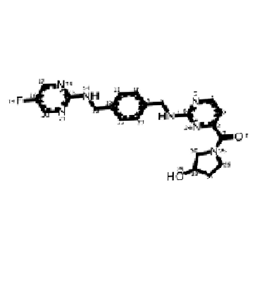 O=C(c1ccnc(NCc2ccc(CNc3ncc(F)cn3)cc2)n1)N1CCC(O)C1